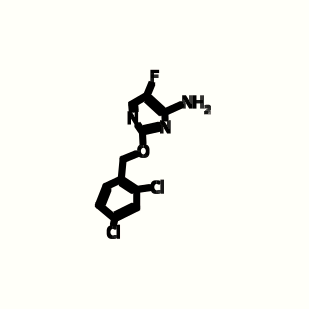 Nc1nc(OCc2ccc(Cl)cc2Cl)ncc1F